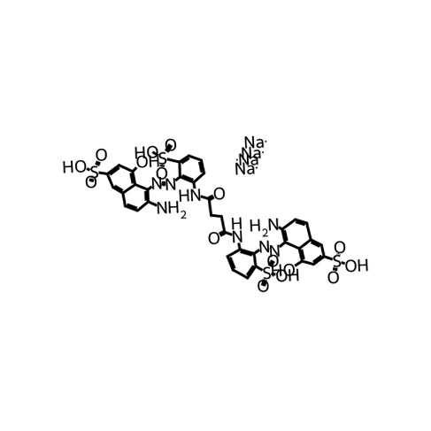 Nc1ccc2cc(S(=O)(=O)O)cc(O)c2c1N=Nc1c(NC(=O)CCC(=O)Nc2cccc(S(=O)(=O)O)c2N=Nc2c(N)ccc3cc(S(=O)(=O)O)cc(O)c23)cccc1S(=O)(=O)O.[Na].[Na].[Na].[Na]